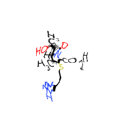 C[C@@H](O)[C@@H]1C(=O)N2C(C(=O)O)=C(SCCc3c[nH]nn3)[C@H](C)[C@@H]12